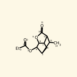 CCC(=O)OC1C2CC3C1OC(=O)C3C2C